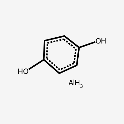 Oc1ccc(O)cc1.[AlH3]